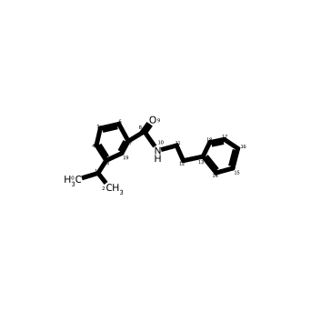 CC(C)c1cccc(C(=O)NCCc2ccccc2)c1